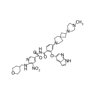 CN1CCN(C2CC3(CCN(c4ccc(C(=O)NS(=O)(=O)c5cnc(NCC6CCOCC6)c([N+](=O)[O-])c5)c(Oc5cnc6[nH]ccc6c5)c4)CC3)C2)CC1